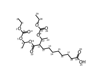 CCOC(=O)OC(C)OC(=O)C(CCCCCCCC(=O)O)C(C)OC(=O)OCC